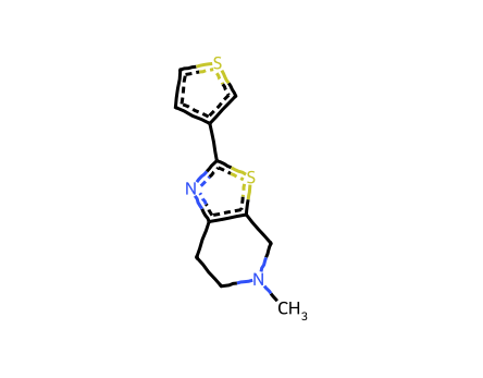 CN1CCc2nc(-c3ccsc3)sc2C1